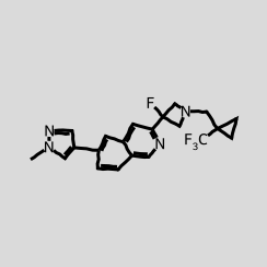 Cn1cc(-c2ccc3cnc(C4(F)CN(CC5(C(F)(F)F)CC5)C4)cc3c2)cn1